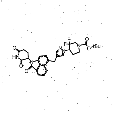 CC(C)(C)OC(=O)N1CC[C@@H](n2cc(Cc3ccc4c5c(cccc35)C(=O)N4C3CCC(=O)NC3=O)cn2)C(F)(F)C1